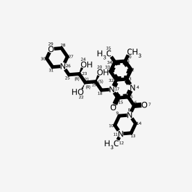 Cc1cc2nc(C(=O)N3CCN(C)CC3)c(=O)n(C[C@H](O)[C@H](O)[C@H](O)CN3CCOCC3)c2cc1C